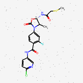 CSCC(=O)N[C@H]1OC(=O)N(c2ccc(C(=O)Nc3ccc(Cl)nc3)c(F)c2)C1C